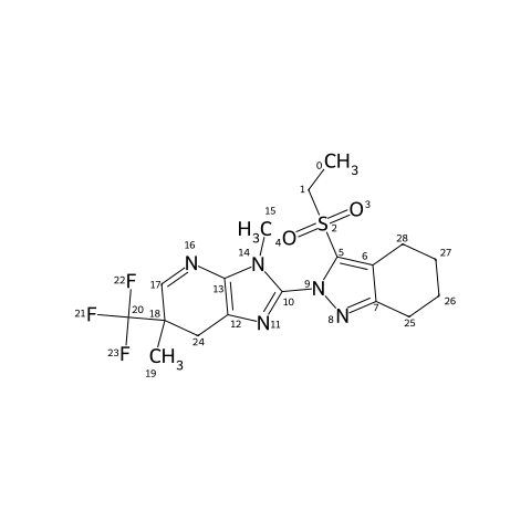 CCS(=O)(=O)c1c2c(nn1-c1nc3c(n1C)N=CC(C)(C(F)(F)F)C3)CCCC2